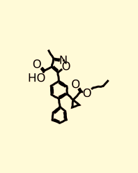 CCCOC(=O)C1(c2cc(-c3onc(C)c3C(=O)O)ccc2-c2ccccc2)CC1